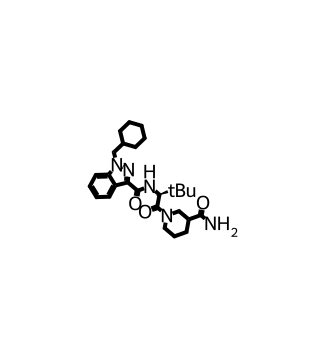 CC(C)(C)[C@H](NC(=O)c1nn(CC2CCCCC2)c2ccccc12)C(=O)N1CCCC(C(N)=O)C1